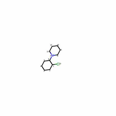 ClC1CCCCC1N1CC[CH]CC1